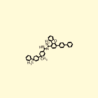 CC1(C2=CCC(C)(c3ccccc3)C=C2)C=CC(C(=N)/N=C(\N)c2ccc(-c3ccc(-c4ccccc4)cc3)c3oc4ccccc4c23)=CC1